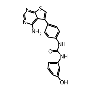 Nc1ncnc2scc(-c3ccc(NC(=O)Nc4cccc(O)c4)cc3)c12